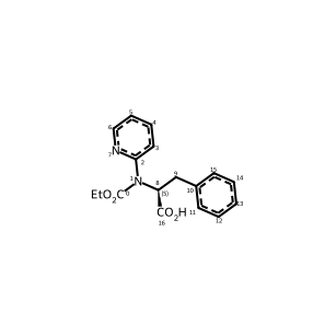 CCOC(=O)N(c1ccccn1)[C@@H](Cc1ccccc1)C(=O)O